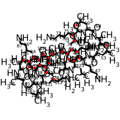 CC(C)C[C@H](NC(=O)[C@H](C)NC(=O)[C@H](CCCCN)NC(=O)[C@H](CC(C)C)NC(=O)[C@H](C)NC(=O)[C@H](CC(C)C)NC(=O)[C@H](CCCCN)NC(=O)[C@H](CC(C)C)NC(=O)[C@H](C)NC(=O)[C@H](CC(C)C)NC(=O)[C@@H](N)CCCCN)C(=O)N[C@@H](CCCCN)C(=O)N[C@@H](C)C(=O)N[C@@H](C)C(=O)N[C@@H](CC(C)C)C(=O)N[C@@H](CCCCN)C(=O)N[C@@H](CC(C)C)C(=O)N[C@@H](C)C(=O)O